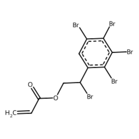 C=CC(=O)OCC(Br)c1cc(Br)c(Br)c(Br)c1Br